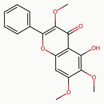 COc1cc2oc(-c3ccccc3)c(OC)c(=O)c2c(O)c1OC